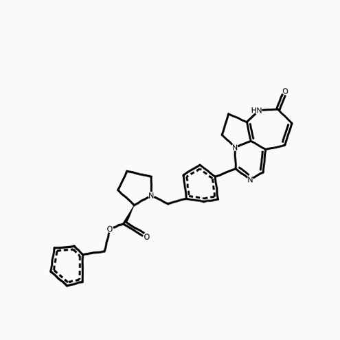 O=C1C=CC2=CN=C(c3ccc(CN4CCC[C@@H]4C(=O)OCc4ccccc4)cc3)N3CCC(=C23)N1